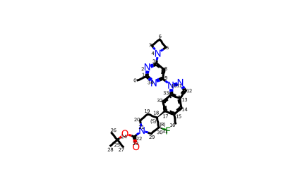 Cc1nc(N2CCC2)cc(-n2ncc3cc(C)c([C@@H]4CCN(C(=O)OC(C)(C)C)C[C@@H]4F)cc32)n1